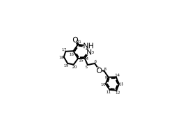 O=c1[nH]nc(CCOCc2ccccc2)c2c1CCCC2